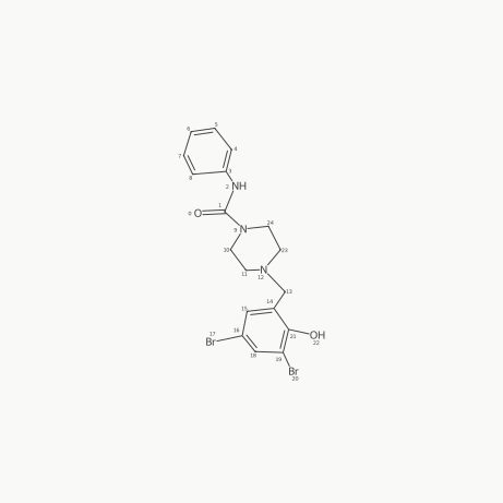 O=C(Nc1ccccc1)N1CCN(Cc2cc(Br)cc(Br)c2O)CC1